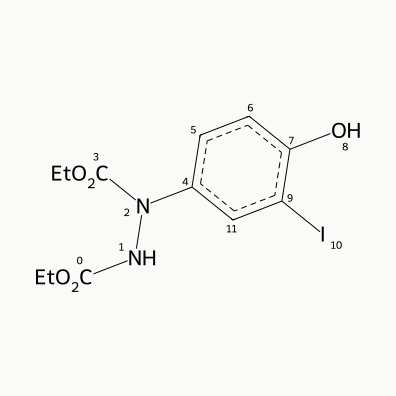 CCOC(=O)NN(C(=O)OCC)c1ccc(O)c(I)c1